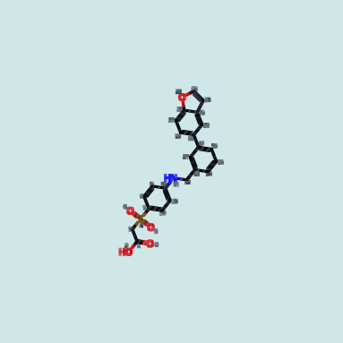 O=C(O)CS(=O)(=O)c1ccc(NCc2cccc(-c3ccc4occc4c3)c2)cc1